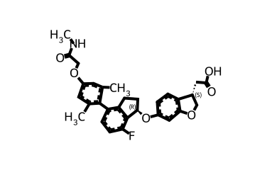 CNC(=O)COc1cc(C)c(-c2ccc(F)c3c2CC[C@H]3Oc2ccc3c(c2)OC[C@H]3CC(=O)O)c(C)c1